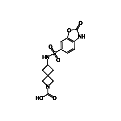 O=C(O)N1CC2(CC(NS(=O)(=O)c3ccc4[nH]c(=O)oc4c3)C2)C1